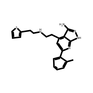 Cc1ccccc1-c1cc(CCNCCc2cccs2)c2c(N)n[nH]c2n1